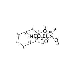 CCOC(=O)N1C2CCCC1CC(OS(C)(=O)=O)C2